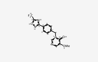 COc1cncn(Cc2ccc(-c3noc(C(F)(F)F)n3)cc2)c1=O